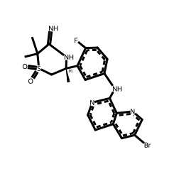 CC1(C)C(=N)N[C@](C)(c2cc(Nc3nccc4cc(Br)cnc34)ccc2F)CS1(=O)=O